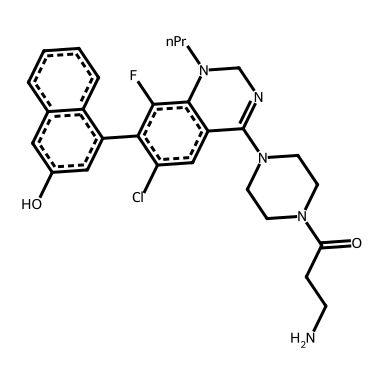 CCCN1CN=C(N2CCN(C(=O)CCN)CC2)c2cc(Cl)c(-c3cc(O)cc4ccccc34)c(F)c21